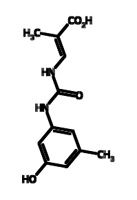 CC(=CNC(=O)Nc1cc(C)cc(O)c1)C(=O)O